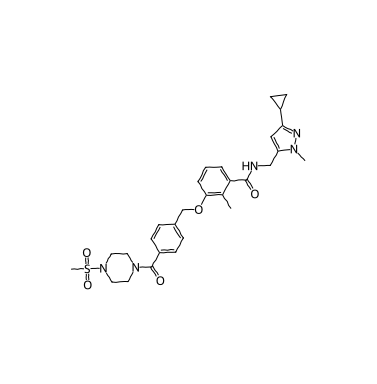 Cc1c(OCc2ccc(C(=O)N3CCN(S(C)(=O)=O)CC3)cc2)cccc1C(=O)NCc1cc(C2CC2)nn1C